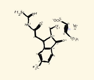 N=C(N)NC(=O)CC1c2cc(C(F)(F)F)ccc2C(=O)N1CC(F)(F)F.O=C([O-])/C=C/C(=O)O.[H+]